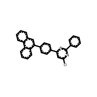 Clc1cc(-c2ccc(-c3cc4ccccc4c4ccccc34)cc2)nc(-c2ccccc2)n1